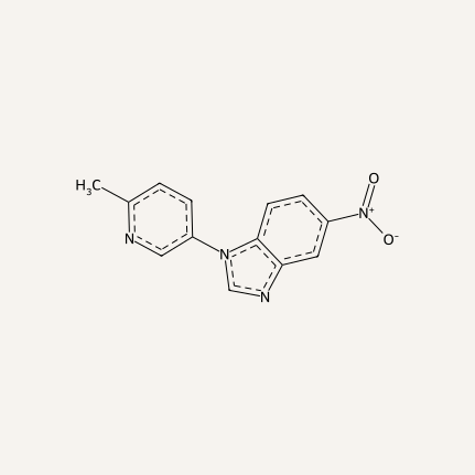 Cc1ccc(-n2cnc3cc([N+](=O)[O-])ccc32)cn1